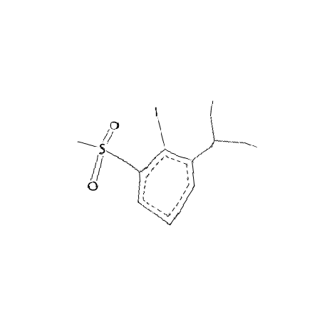 CC(C)c1cccc(S(C)(=O)=O)c1I